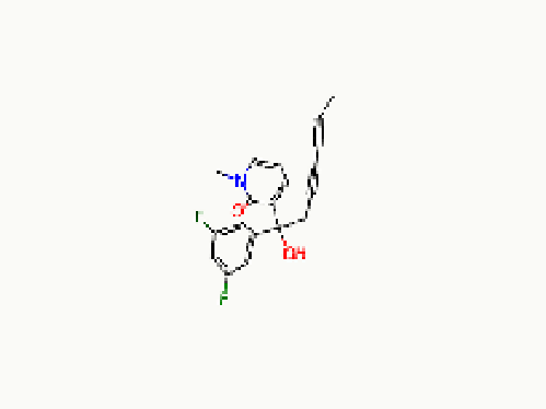 CC#CC#CCC(O)(c1cc(F)cc(F)c1)c1cccn(C)c1=O